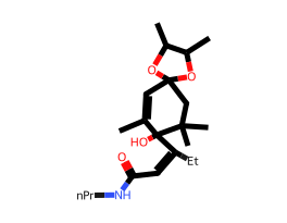 CCCNC(=O)/C=C(/CC)C1(O)C(C)=CC2(CC1(C)C)OC(C)C(C)O2